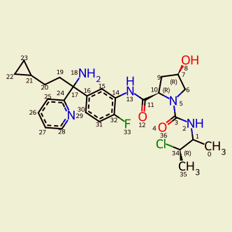 CC(NC(=O)N1C[C@H](O)C[C@@H]1C(=O)Nc1cc(C(N)(CCC2CC2)c2ccccn2)ccc1F)[C@@H](C)Cl